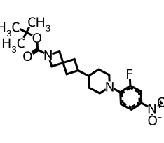 CC(C)(C)OC(=O)N1CC2(CC(C3CCN(c4ccc([N+](=O)[O-])cc4F)CC3)C2)C1